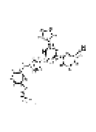 COCc1cccc(Cn2cc(-c3cc(-c4cccc(C#N)c4)nc(N4CCCC4)n3)nn2)n1